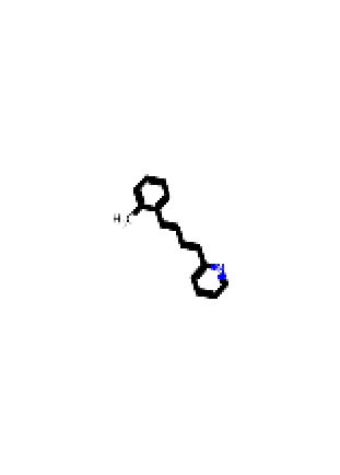 Cc1ccccc1C=CC=Cc1ccccn1